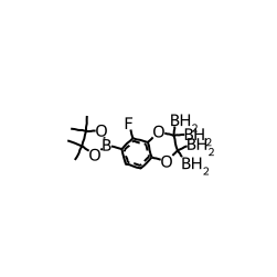 BC1(B)Oc2ccc(B3OC(C)(C)C(C)(C)O3)c(F)c2OC1(B)B